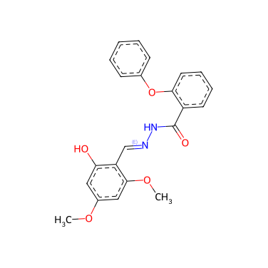 COc1cc(O)c(/C=N/NC(=O)c2ccccc2Oc2ccccc2)c(OC)c1